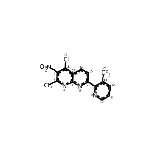 O=[N+]([O-])c1c(Cl)nc2nc(-c3ncccc3C(F)(F)F)ccc2c1Cl